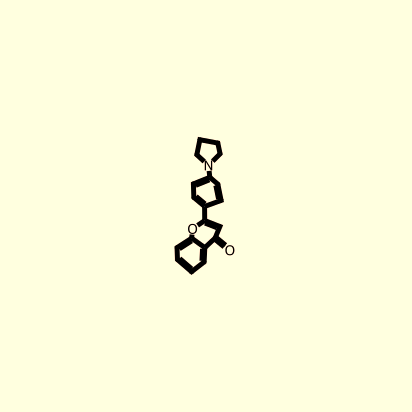 O=c1cc(-c2ccc(N3CCCC3)cc2)oc2ccccc12